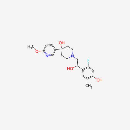 COc1ccc(C2(O)CCN(CC(O)c3cc(C)c(O)cc3F)CC2)cn1